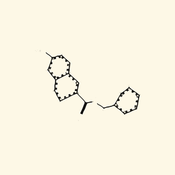 COc1ccc2cc(C(=O)OCc3ccccc3)ccc2c1